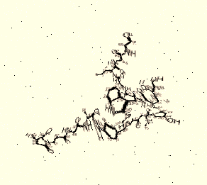 CC[C@H](C)[C@H](NC(=O)CNC(=O)C(C)(Cc1c(SC)[nH]c2ccccc12)NC(=O)[C@@H](NC[C@@H]1C[C@@H](O)CN1C(=O)[C@H](CC(=O)NCc1ccc(NC(=O)[C@H](C)NC(=O)CNC(=O)CCN2C(=O)CC(S)C2=O)cc1)NC)[C@@H](C)[C@@H](O)CO)C(=O)NCC(=O)NCC=O